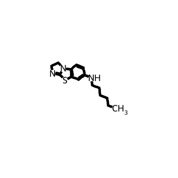 CCCCCCNc1ccc2c(c1)SC1=NCCN12